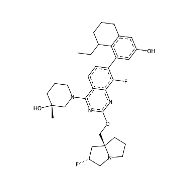 CCC1CCCc2cc(O)cc(-c3ccc4c(N5CCC[C@@](C)(O)C5)nc(OC[C@@]56CCCN5C[C@H](F)C6)nc4c3F)c21